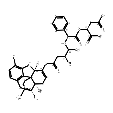 CN1CCC23c4c5ccc(O)c4O[C@H]2C(OC(=O)C[C@H](O)C(O)O[C@H](C(=O)O[C@@H](CC(=O)O)C(=O)O)c2ccccc2)=CC[C@@]3(O)[C@H]1C5